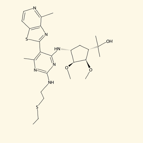 CCSCCNc1nc(C)c(-c2nc3c(C)nccc3s2)c(N[C@@H]2C[C@H](C(C)(C)O)[C@@H](OC)[C@H]2OC)n1